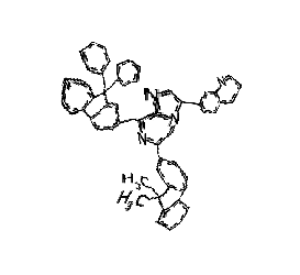 CC1(C)c2ccccc2-c2ccc(-c3cn4c(-c5ccc6cccnc6c5)cnc4c(-c4ccc5c(c4)C(c4ccccc4)(c4ccccc4)c4ccccc4-5)n3)cc21